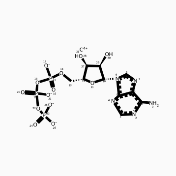 Nc1ncnc2c1ncn2[C@@H]1O[C@H](COP(=O)([O-])OP(=O)([O-])OP(=O)([O-])[O-])[C@@H](O)[C@H]1O.[C+4]